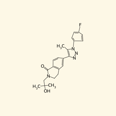 Cc1c(-c2ccc3c(c2)CCN(CC(C)(C)O)C3=O)nnn1-c1ccc(F)cc1